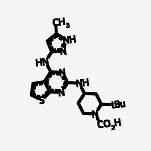 Cc1cc(Nc2nc(NC3CCN(C(=O)O)C(C(C)(C)C)C3)nc3sccc23)n[nH]1